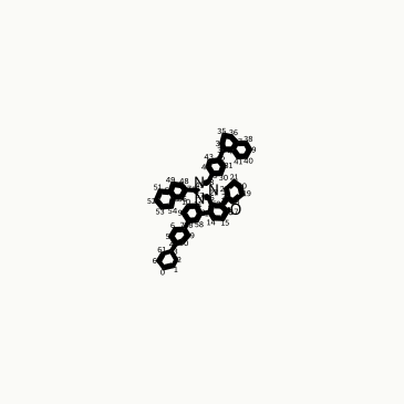 C1=CCC(c2ccc(-c3cccc(-c4ccc5oc6ccccc6c5c4-c4nc(-c5ccc(-c6cccc7ccccc67)cc5)nc(-c5ccc6ccccc6c5)n4)c3)cc2)C=C1